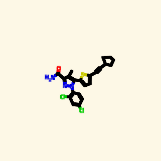 Cc1c(C(N)=O)nn(-c2ccc(Cl)cc2Cl)c1-c1ccc(C#CC2CCCC2)s1